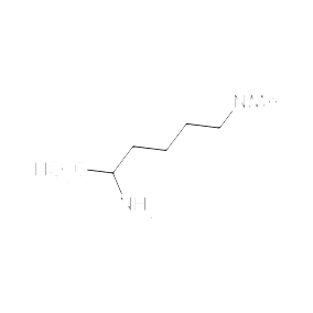 [CH2]NCCCCC(N)C(=O)O